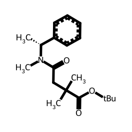 C[C@H](c1ccccc1)N(C)C(=O)CC(C)(C)C(=O)OC(C)(C)C